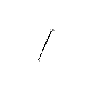 CCCCCCCCCCCCCCCCCCOCCCNCCC